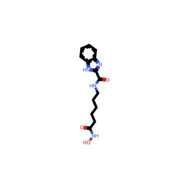 O=C(CCCCCNC(=O)c1nc2ccccc2[nH]1)NO